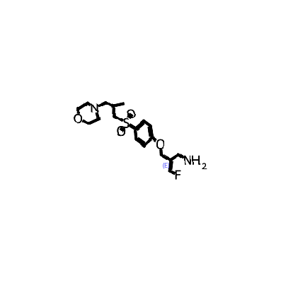 CC(CN1CCOCC1)CS(=O)(=O)c1ccc(OC/C(=C/F)CN)cc1